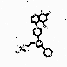 CC1CC(=O)Nc2ncnc(N3CCC(c4nc(C5CCOCC5)cn4CCOS(C)(=O)=O)CC3)c21